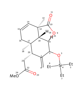 C=C1C(O[Si](CC)(CC)CC)[C@@H]2OC(=O)[C@]3(C)C=CC[C@@](C)([C@@H]23)[C@H]1CC(=O)OC